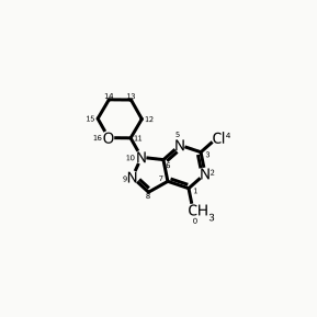 Cc1nc(Cl)nc2c1cnn2C1CCCCO1